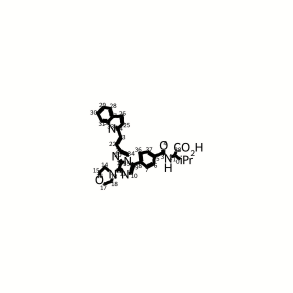 CC(C)C(NC(=O)c1ccc(-c2cnc(N3CCOCC3)c3nc(C=Cc4ccc5ccccc5n4)cn23)cc1)C(=O)O